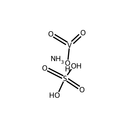 N.O=S(=O)(O)O.[O]=[V](=[O])[OH]